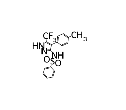 Cc1ccc(-c2c(NS(=O)(=O)c3ccccc3)n[nH]c2C(F)(F)F)cc1